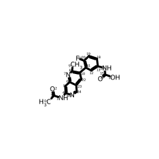 CC(=O)Nc1cc2nc(C)c(-c3cc(NC(=O)O)ccc3F)cc2cn1